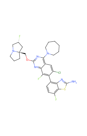 Nc1nc2c(-c3c(Cl)cc4c(N5CCCCCC5)nc(OC[C@@]56CCCN5C[C@H](F)C6)nc4c3F)ccc(F)c2s1